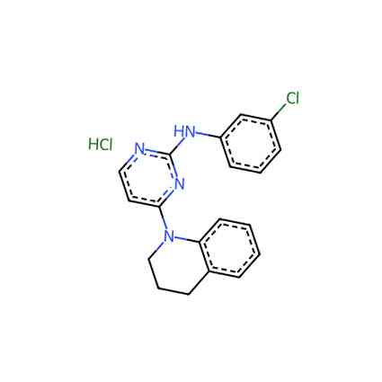 Cl.Clc1cccc(Nc2nccc(N3CCCc4ccccc43)n2)c1